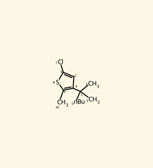 CCCCC(C)(C)c1cc(Cl)sc1C